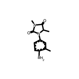 Bc1ccc(N2C(=O)N(C)C(=O)C2C)cc1C